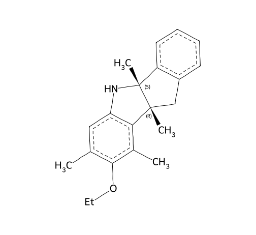 CCOc1c(C)cc2c(c1C)[C@@]1(C)Cc3ccccc3[C@@]1(C)N2